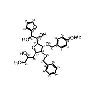 COc1ccc(CO[C@@H]2[C@@H](OCc3ccccc3)[C@@H](CC(O)CO)O[C@H]2[C@H](O)[C@@H](O)c2ccco2)cc1